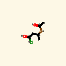 CC(=O)SC(C)CC(=O)Cl